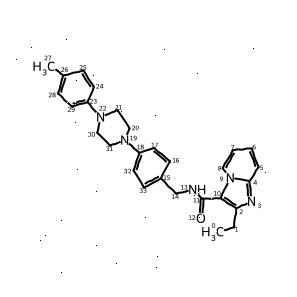 CCc1nc2ccccn2c1C(=O)NCc1ccc(N2CCN(c3ccc(C)cc3)CC2)cc1